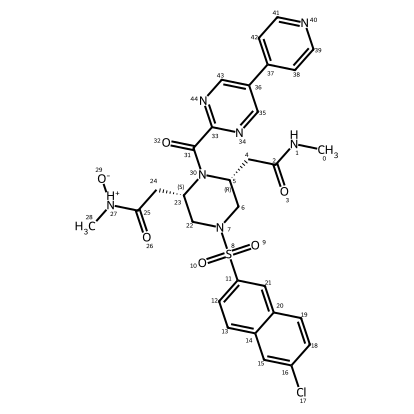 CNC(=O)C[C@@H]1CN(S(=O)(=O)c2ccc3cc(Cl)ccc3c2)C[C@H](CC(=O)[NH+](C)[O-])N1C(=O)c1ncc(-c2ccncc2)cn1